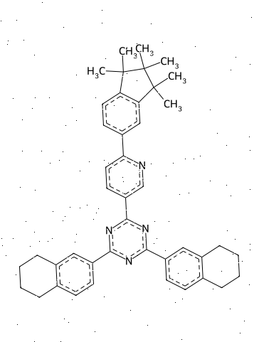 CC1(C)c2ccc(-c3ccc(-c4nc(-c5ccc6c(c5)CCCC6)nc(-c5ccc6c(c5)CCCC6)n4)cn3)cc2C(C)(C)C1(C)C